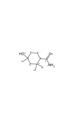 CC1(O)CCC(C(N)=O)C(C)(C)C1